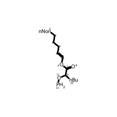 CCCCCCCCCCCCC=COC(=O)C(CCCC)OP